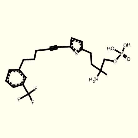 CC(N)(CCc1ccc(C#CCCCc2cccc(C(F)(F)F)c2)s1)COP(=O)(O)O